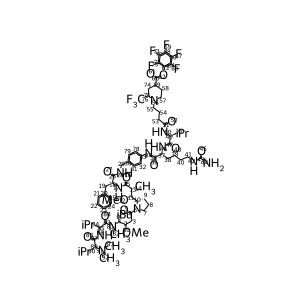 CC[C@H](C)[C@@H]([C@@H](CC(=O)N1CCC[C@H]1[C@H](OC)[C@@H](C)C(=O)N[C@@H](Cc1ccccc1)C(=O)NCc1ccc(NC(=O)[C@H](CCCCNC(N)=O)NC(=O)[C@@H](NC(=O)CCCN2CCC(C(=O)Oc3c(F)c(F)c(F)c(F)c3F)CC2C(F)(F)F)C(C)C)cc1)OC)N(C)C(=O)[C@@H](NC(=O)[C@H](C(C)C)N(C)C)C(C)C